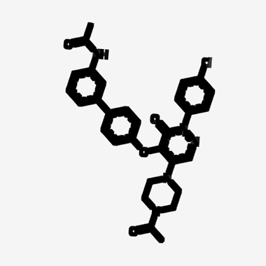 CC(=O)Nc1cccc(-c2ccc(Oc3c(N4CCN(C(C)=O)CC4)cnn(-c4ccc(Cl)cc4)c3=O)cc2)c1